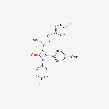 CC(=O)Oc1ccc([C@@H]2[C@@H]([C@@H](COc3ccc(F)cc3)OC(C)=O)C(=O)N2c2ccc(F)cc2)cc1